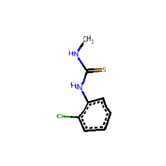 CNC(=S)Nc1ccccc1Cl